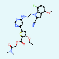 CCOc1cc(-c2cc(NCCn3c(C#N)cc4c(OC)ccc(F)c43)ncn2)sc1C(=O)OCC(=O)N(C)C